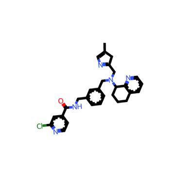 CC1=CN=C(CN(Cc2cccc(CNC(=O)c3ccnc(Cl)c3)c2)C2CCCc3cccnc32)C1